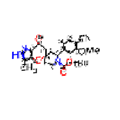 COc1cc(C2CC3(CCN2C(=O)OC(C)(C)C)CC(=O)c2n[nH]c(C)c2O3)ccc1C#N